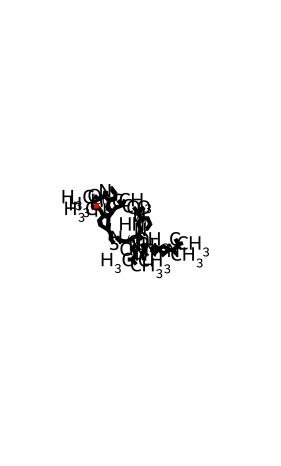 CCn1c(-c2cccnc2[C@H](C)OC)c2c3cc(ccc31)-c1csc(n1)C[C@H](NC(=O)C(C(C)C)N(C)C(=O)N1CC3(CC(N(C)C(C)C)C3)C1)C(=O)N1CCC[C@H](N1)C(=O)OCC(C)(C)C2